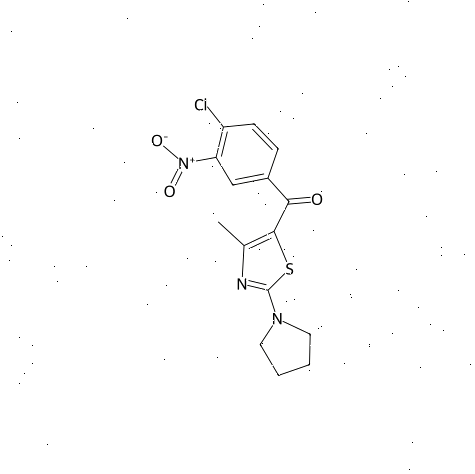 Cc1nc(N2CCCC2)sc1C(=O)c1ccc(Cl)c([N+](=O)[O-])c1